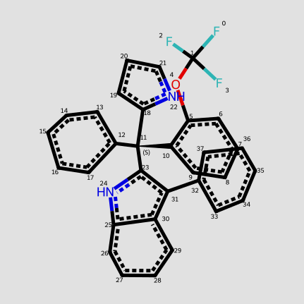 FC(F)(F)Oc1ccccc1[C@@](c1ccccc1)(c1ccc[nH]1)c1[nH]c2ccccc2c1-c1ccccc1